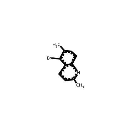 Cc1ccc2c(Br)c(C)ccc2n1